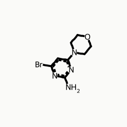 Nc1nc(Br)cc(N2CCOCC2)n1